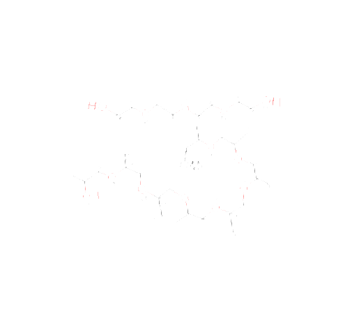 COCC(C)OCC(C)OCC(C)OCC(C)OCC(C)OCC(C)OCC(C)OCC(C)O.OCCOCCOCCOCCO